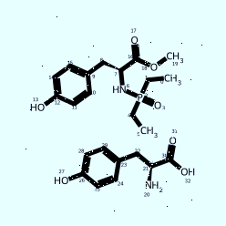 CCP(=O)(CC)N[C@@H](Cc1ccc(O)cc1)C(=O)OC.N[C@@H](Cc1ccc(O)cc1)C(=O)O